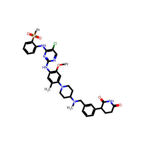 Cc1cc(Nc2ncc(Cl)c(Nc3ccccc3S(=O)(=O)C(C)C)n2)c(OC(C)C)cc1N1CCC(N(C)Cc2cccc(C3CCC(=O)NC3=O)c2)CC1